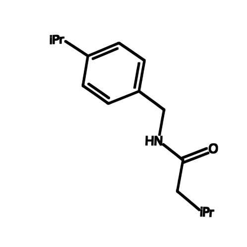 CC(C)CC(=O)NCc1ccc(C(C)C)cc1